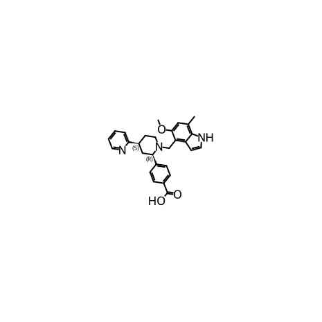 COc1cc(C)c2[nH]ccc2c1CN1CC[C@H](c2ccccn2)C[C@@H]1c1ccc(C(=O)O)cc1